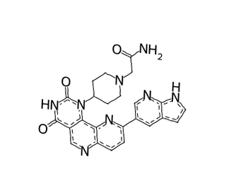 NC(=O)CN1CCC(n2c(=O)[nH]c(=O)c3cnc4ccc(-c5cnc6[nH]ccc6c5)nc4c32)CC1